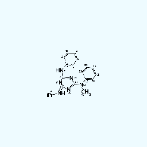 CC(C)Nc1nc(Nc2ccccc2)nc(N(C)c2ccccc2)n1